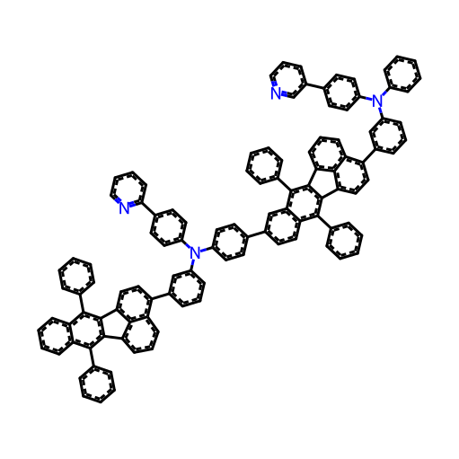 c1ccc(-c2c3c(c(-c4ccccc4)c4ccccc24)-c2ccc(-c4cccc(N(c5ccc(-c6ccc7c(-c8ccccc8)c8c(c(-c9ccccc9)c7c6)-c6cccc7c(-c9cccc(N(c%10ccccc%10)c%10ccc(-c%11cccnc%11)cc%10)c9)ccc-8c67)cc5)c5ccc(-c6ccccn6)cc5)c4)c4cccc-3c24)cc1